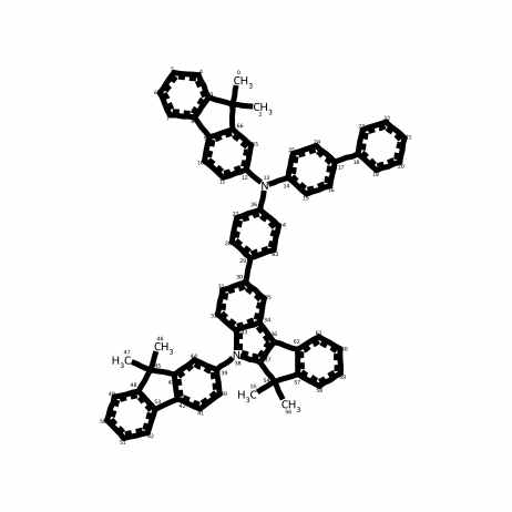 CC1(C)c2ccccc2-c2ccc(N(c3ccc(-c4ccccc4)cc3)c3ccc(-c4ccc5c(c4)c4c(n5-c5ccc6c(c5)C(C)(C)c5ccccc5-6)C(C)(C)c5ccccc5-4)cc3)cc21